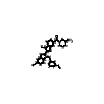 CCc1cccc(Cn2c(-c3nc4cc(C(=O)N5CCCC(N)C5)ccn4c3C)cc3cc(F)ccc32)c1